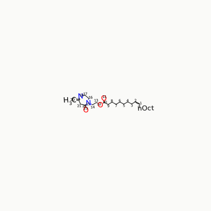 CCCCCCCC/C=C\CCCCCCCC(=O)OCCN1CCN=C(C)CC1=O